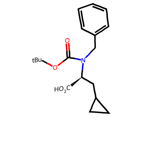 CC(C)(C)OC(=O)N(Cc1ccccc1)[C@@H](CC1CC1)C(=O)O